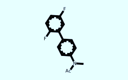 CC(=O)N(C)c1ccc(-c2cc(F)ccc2F)cc1